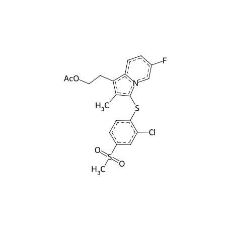 CC(=O)OCCc1c(C)c(Sc2ccc(S(C)(=O)=O)cc2Cl)n2cc(F)ccc12